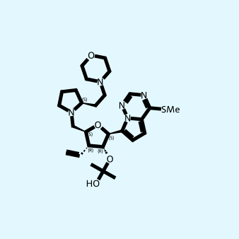 C=C[C@H]1[C@@H](OC(C)(C)O)[C@H](c2ccc3c(SC)ncnn23)O[C@@H]1CN1CCC[C@H]1CCN1CCOCC1